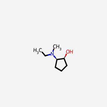 CCN(C)[C@@H]1CCC[C@@H]1O